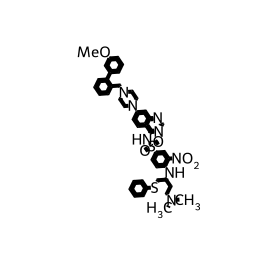 COc1cccc(-c2ccccc2CN2CCN(c3ccc4c(NS(=O)(=O)c5ccc(NC(CCN(C)C)CSc6ccccc6)c([N+](=O)[O-])c5)ncnc4c3)CC2)c1